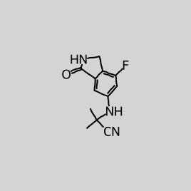 CC(C)(C#N)Nc1cc(F)c2c(c1)C(=O)NC2